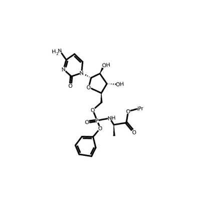 CC(C)OC(=O)[C@@H](C)NP(=O)(OC[C@H]1O[C@H](n2ccc(N)nc2=O)[C@@H](O)[C@@H]1O)Oc1ccccc1